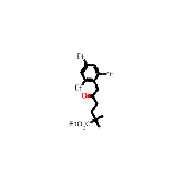 CCOC(=O)C(C)(C)CCC(=O)Cc1c(CC)cc(CC)cc1CC